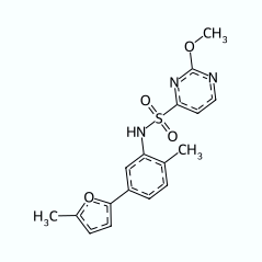 COc1nccc(S(=O)(=O)Nc2cc(-c3ccc(C)o3)ccc2C)n1